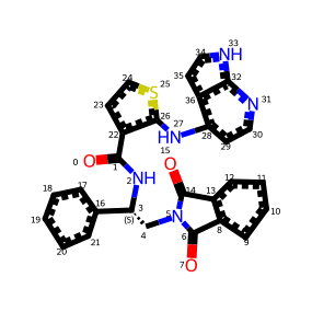 O=C(N[C@H](CN1C(=O)c2ccccc2C1=O)c1ccccc1)c1ccsc1Nc1ccnc2[nH]ccc12